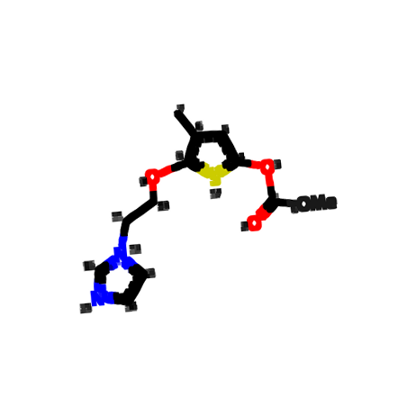 COC(=O)Oc1cc(C)c(OCCn2ccnc2)s1